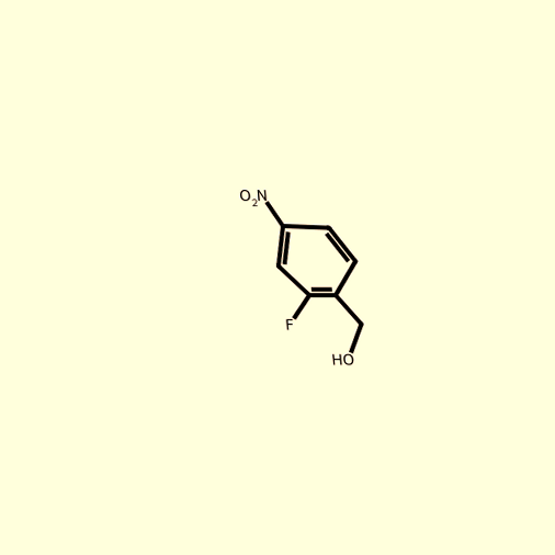 O=[N+]([O-])c1ccc(CO)c(F)c1